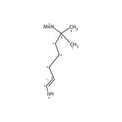 CCC/C=C/CCCC(C)(C)NC